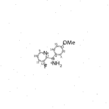 COc1ccc([C@H](N)c2ncccc2F)cc1